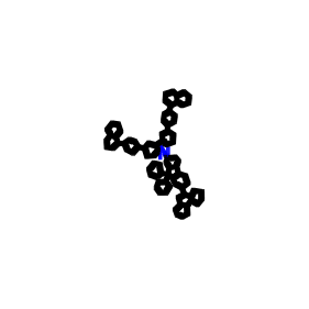 c1ccc(C2(c3ccccc3)c3cc(-c4cc5ccccc5c5ccccc45)ccc3-c3ccc(-n4c5ccc(-c6ccc(-c7cccc8ccccc78)cc6)cc5c5cc(-c6ccc(-c7cccc8ccccc78)cc6)ccc54)cc32)cc1